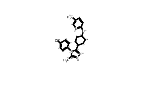 Cc1ccc(OC2CCC(c3nnc(C)n3-c3ccc(Cl)cc3)CC2)nc1